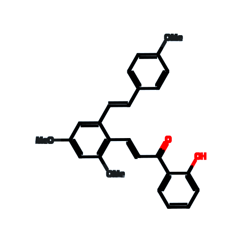 COc1ccc(/C=C/c2cc(OC)cc(OC)c2/C=C/C(=O)c2ccccc2O)cc1